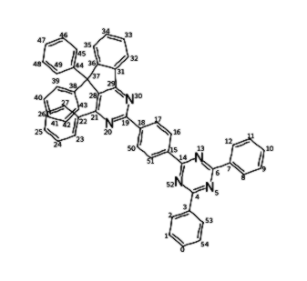 c1ccc(-c2nc(-c3ccccc3)nc(-c3ccc(-c4nc(-c5ccccc5)c5c(n4)-c4ccccc4C5(c4ccccc4)c4ccccc4)cc3)n2)cc1